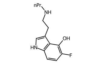 CCCNCCc1c[nH]c2ccc(F)c(O)c12